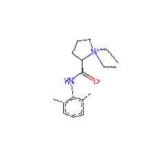 CC[N+]1(CC)CCCC1C(=O)Nc1c(C)cccc1C